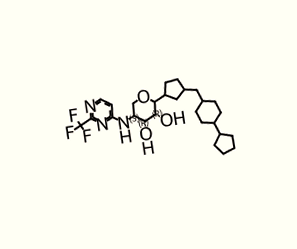 O[C@@H]1[C@@H](Nc2ccnc(C(F)(F)F)n2)COC(C2CCC(CC3CCC(C4CCCC4)CC3)C2)[C@@H]1O